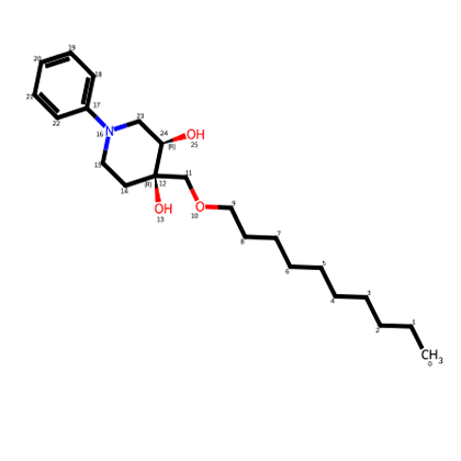 CCCCCCCCCCOC[C@]1(O)CCN(c2ccccc2)C[C@H]1O